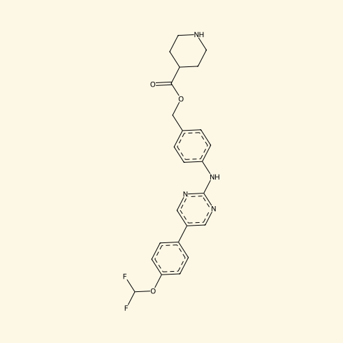 O=C(OCc1ccc(Nc2ncc(-c3ccc(OC(F)F)cc3)cn2)cc1)C1CCNCC1